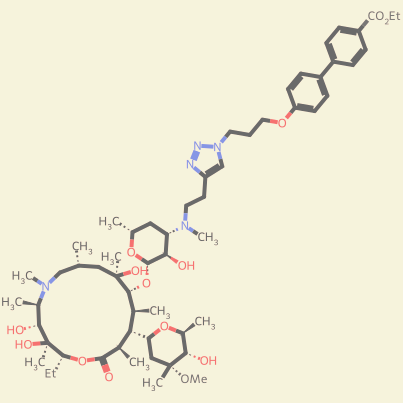 CCOC(=O)c1ccc(-c2ccc(OCCCn3cc(CCN(C)[C@H]4C[C@@H](C)O[C@@H](O[C@@H]5[C@@H](C)[C@H](C6C[C@@](C)(OC)[C@@H](O)[C@H](C)O6)[C@@H](C)C(=O)O[C@H](CC)[C@@](C)(O)[C@H](O)[C@@H](C)N(C)C[C@H](C)C[C@@]5(C)O)[C@@H]4O)nn3)cc2)cc1